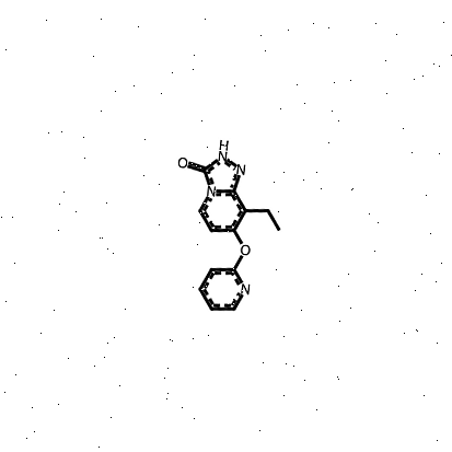 CCc1c(Oc2ccccn2)ccn2c(=O)[nH]nc12